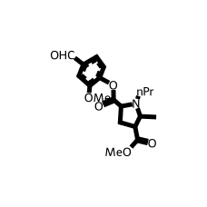 CCCN1C(C(=O)Oc2ccc(C=O)cc2OC)CC(C(=O)OC)C1C